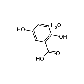 O.O=C(O)c1cc(O)ccc1O